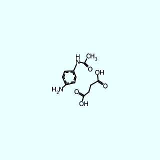 CC(=O)Nc1ccc(N)cc1.O=C(O)CCC(=O)O